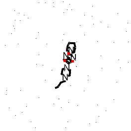 CCCCN1CCN(c2cnc(N3C4CCC3CN(C(C)C)C4)nc2)CC1